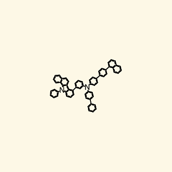 c1ccc(-c2ccc(N(c3ccc(-c4ccc(-c5cccc6ccccc56)cc4)cc3)c3cccc(-c4cccc5c4c4ccc6ccccc6c4n5-c4ccccc4)c3)cc2)cc1